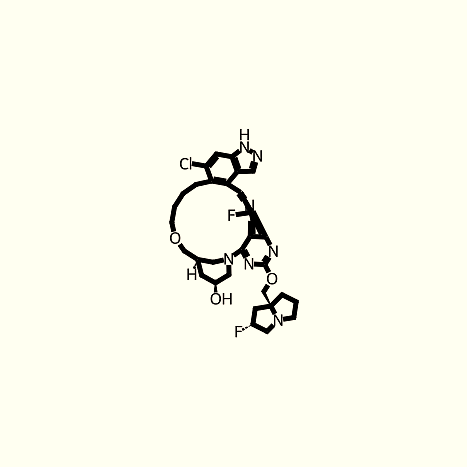 O[C@H]1C[C@H]2COCCCCc3c(Cl)cc4[nH]ncc4c3-c3ncc4c(nc(OC[C@@]56CCCN5C[C@H](F)C6)nc4c3F)N(C1)C2